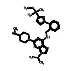 CNC1CCN(c2nc(NCc3ccccc3-n3ccc(C(C)(C)OC)n3)c3ncn(C(C)C)c3n2)CC1